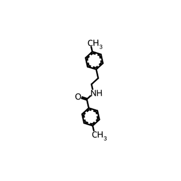 Cc1ccc(CCNC(=O)c2ccc(C)cc2)cc1